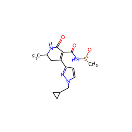 C[S+]([O-])NC(=O)C1=C(c2ccn(CC3CC3)n2)CC(C(F)(F)F)NC1=O